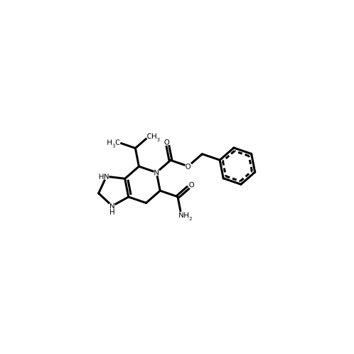 CC(C)C1C2=C(CC(C(N)=O)N1C(=O)OCc1ccccc1)NCN2